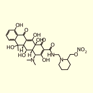 CN(C)[C@@H]1C(O)=C(C(=O)NCN2CCCCC2CO[N+](=O)[O-])C(=O)[C@@]2(O)C(O)=C3C(=O)c4c(O)cccc4C(C)(O)[C@H]3[C@H](O)[C@@H]12